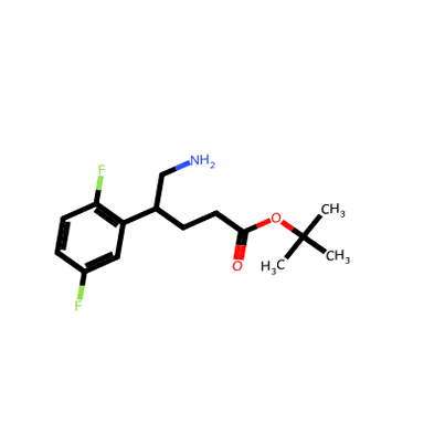 CC(C)(C)OC(=O)CCC(CN)c1cc(F)ccc1F